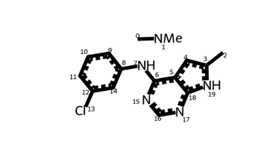 CNC.Cc1cc2c(Nc3cccc(Cl)c3)ncnc2[nH]1